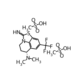 CN(C)[C@@H]1CCn2c(=N)sc3cc(C(F)(F)F)cc1c32.CS(=O)(=O)O.CS(=O)(=O)O